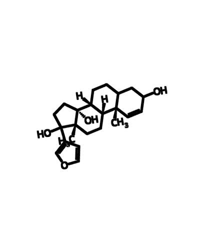 C[C@]12C=CC(O)CC1CC[C@@H]1[C@H]2CC[C@]2(C)C(O)(c3ccoc3)CC[C@@]12O